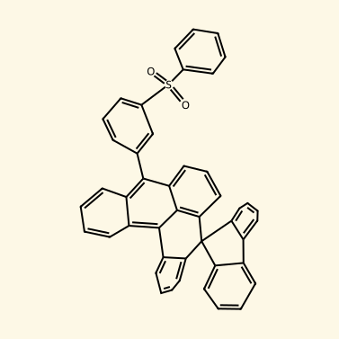 O=S(=O)(c1ccccc1)c1cccc(-c2c3ccccc3c3c4c(cccc24)C2(c4ccccc4-c4ccccc42)c2ccccc2-3)c1